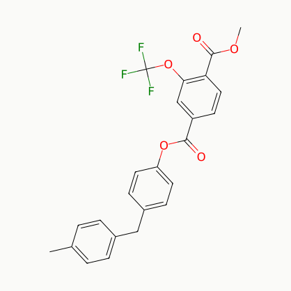 COC(=O)c1ccc(C(=O)Oc2ccc(Cc3ccc(C)cc3)cc2)cc1OC(F)(F)F